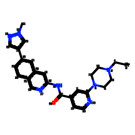 CC(C)CN1CCN(c2cc(C(=O)Nc3cc4cc(-c5cnn(C)c5)ccc4cn3)ccn2)CC1